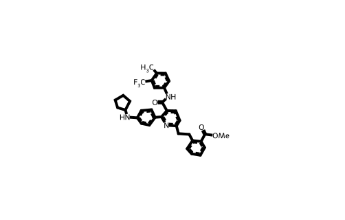 COC(=O)c1ccccc1CCc1ccc(C(=O)Nc2ccc(C)c(C(F)(F)F)c2)c(-c2ccc(NC3CCCC3)cc2)n1